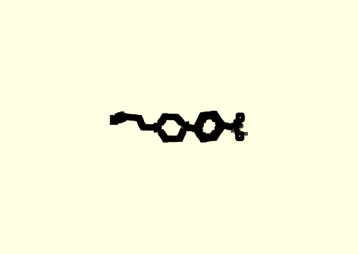 N#CCCN1CCN(c2ccc([N+](=O)[O-])cc2)CC1